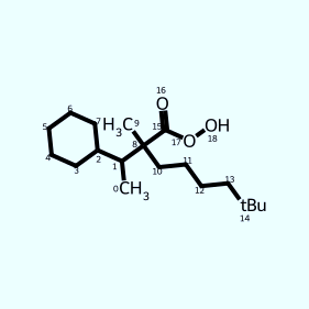 CC(C1CCCCC1)C(C)(CCCCC(C)(C)C)C(=O)OO